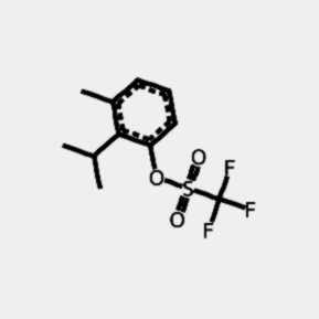 Cc1cccc(OS(=O)(=O)C(F)(F)F)c1C(C)C